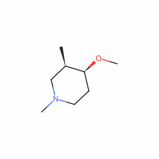 CO[C@H]1CCN(C)C[C@H]1C